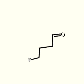 O=CC[CH]CF